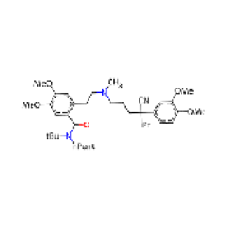 CCCCCN(C(=O)c1cc(OC)c(OC)cc1CCN(C)CCCC(C#N)(c1ccc(OC)c(OC)c1)C(C)C)C(C)(C)C